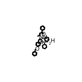 C1CCC(NC2CCCCC2)CC1.CC(=CC(=O)c1ccccc1)N[C@@H](Cc1ccc(OCc2ccccc2)cc1)C(=O)O